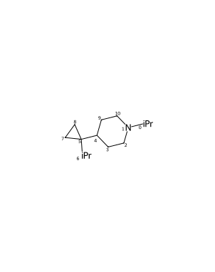 CC(C)N1CCC(C2(C(C)C)CC2)CC1